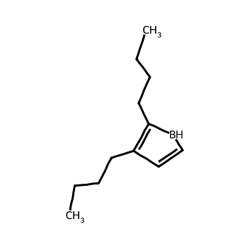 CCCCC1=C(CCCC)C=CB1